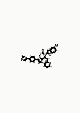 Cn1c(-c2ccc(-c3cncs3)cc2)cnc1C(Cc1ccccn1)N(C=O)c1cc2cc(Cl)ccc2o1